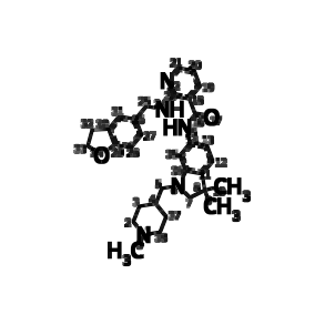 CN1CCC(CN2CC(C)(C)c3ccc(NC(=O)c4cccnc4NCc4ccc5c(c4)CCO5)cc32)CC1